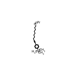 CCCOCCCCCCCCC#Cc1ccc([Si](C)(C)C)cc1